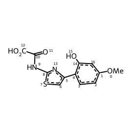 COc1ccc(-c2csc(NC(=O)C(=O)O)n2)c(O)c1